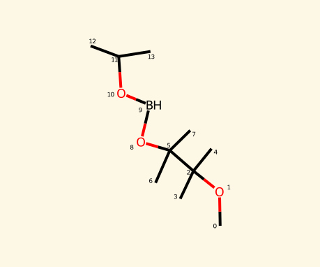 COC(C)(C)C(C)(C)OBOC(C)C